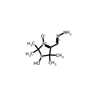 CC1(C)C(/C=N/N)=[N+]([O-])C(C)(C)N1O